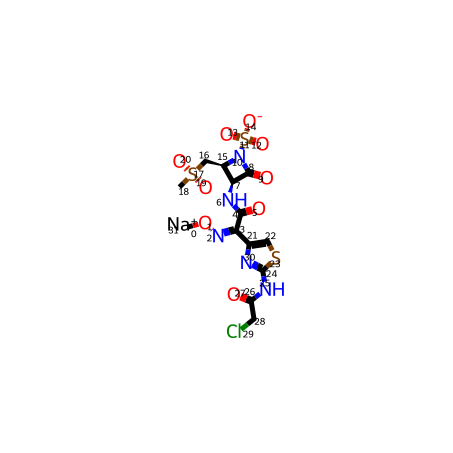 CON=C(C(=O)N[C@@H]1C(=O)N(S(=O)(=O)[O-])[C@@H]1CS(C)(=O)=O)c1csc(NC(=O)CCl)n1.[Na+]